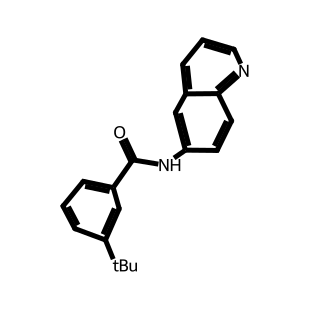 CC(C)(C)c1cccc(C(=O)Nc2ccc3ncccc3c2)c1